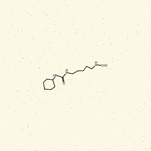 O=CNCCCCCNC(=O)NC1CCCCC1